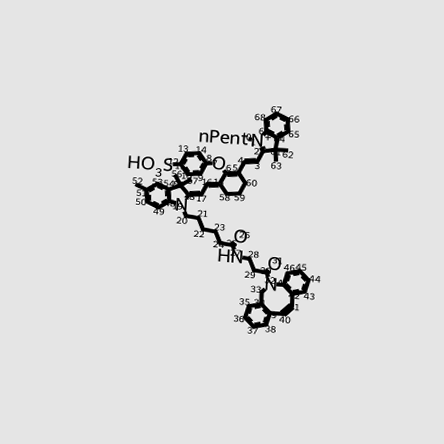 CCCCC[N+]1=C(/C=C/C2=C(Oc3ccc(S(=O)(=O)O)cc3)C(=C/C=C3/N(CCCCCC(=O)NCCC(=O)N4Cc5ccccc5C#Cc5ccccc54)c4ccc(C)cc4C3(C)C)/CCC2)C(C)(C)c2ccccc21